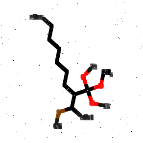 CCCCCCCCCCCCCCCCC(C(CCCCCCCC)SC#N)C(O[SiH3])(OCC)OCC